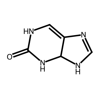 O=C1NC=C2N=CNC2N1